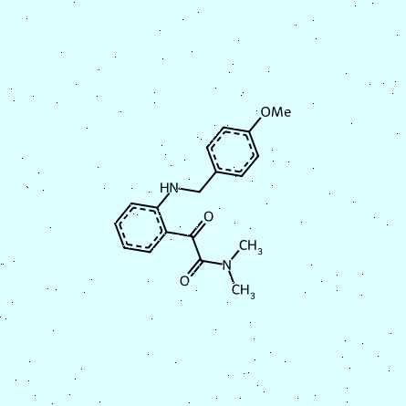 COc1ccc(CNc2ccccc2C(=O)C(=O)N(C)C)cc1